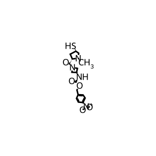 CN1C[C@@H](S)C[C@H]1C(=O)N1CC(NC(=O)OCc2ccc([N+](=O)[O-])cc2)C1